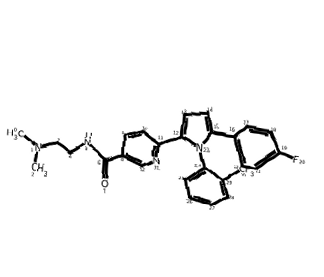 CN(C)CCNC(=O)c1ccc(-c2ccc(-c3ccc(F)cc3)n2-c2ccccc2C(F)(F)F)nc1